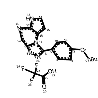 CCCCOc1ccc(-c2nnc3cnc4[nH]ccc4n23)cc1.O=C(O)C(F)(F)F